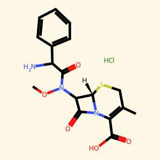 CON(C(=O)C(N)c1ccccc1)C1C(=O)N2C(C(=O)O)=C(C)CS[C@@H]12.Cl